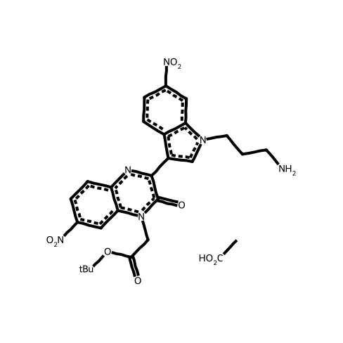 CC(=O)O.CC(C)(C)OC(=O)Cn1c(=O)c(-c2cn(CCCN)c3cc([N+](=O)[O-])ccc23)nc2ccc([N+](=O)[O-])cc21